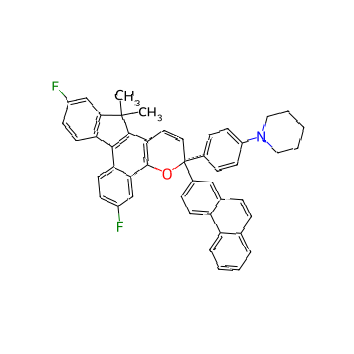 CC1(C)c2cc(F)ccc2-c2c1c1c(c3cc(F)ccc23)OC(c2ccc(N3CCCCC3)cc2)(c2ccc3c(ccc4ccccc43)c2)C=C1